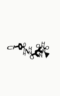 O=C(NCCNC(=O)c1cnc2c(c1)c(=O)[nH]c(=O)n2C1CC1)c1ccc(Cl)cc1